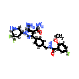 COc1ccc(F)cc1C(=O)NCc1ccc(-c2nn(C3CNCC(F)(F)C3)c(N)c2C(N)=O)cc1